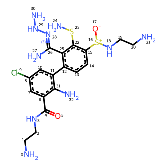 NCCNC(=O)c1cc(Cl)cc(-c2ccc([S+]([O-])NCCN)c(SN)c2/C(N)=N/NN)c1N